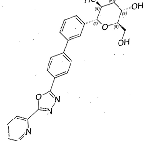 OC[C@H]1O[C@H](c2cccc(-c3ccc(-c4nnc(-c5ccccn5)o4)cc3)c2)[C@@H](O)[C@@H](O)[C@@H]1O